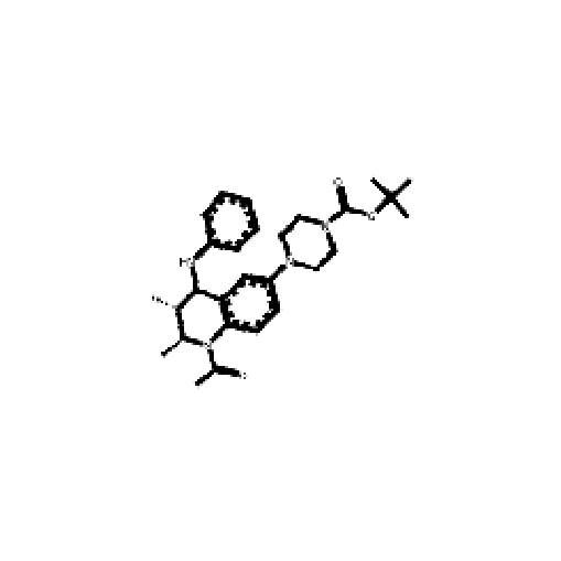 CC(=O)N1c2ccc(N3CCN(C(=O)OC(C)(C)C)CC3)cc2C(Nc2ccccc2)[C@@H](C)[C@@H]1C